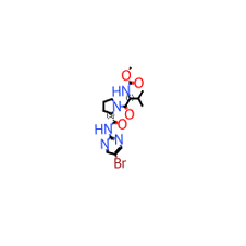 COC(=O)N[C@H](C(=O)N1CCC[C@H]1C(=O)Nc1ncc(Br)cn1)C(C)C